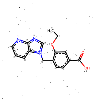 CCOc1cc(C(=O)O)ccc1Cn1cnc2ncccc21